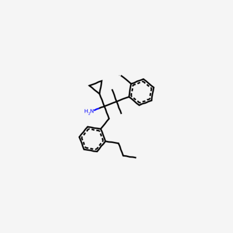 [CH2]c1ccccc1C(C)(C)C(N)(Cc1ccccc1CCC)C1CC1